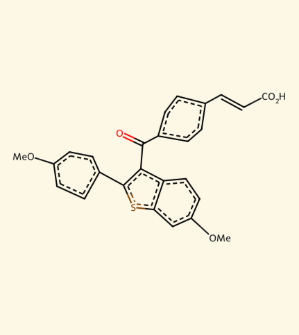 COc1ccc(-c2sc3cc(OC)ccc3c2C(=O)c2ccc(C=CC(=O)O)cc2)cc1